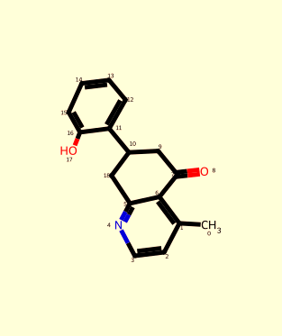 Cc1ccnc2c1C(=O)CC(c1ccccc1O)C2